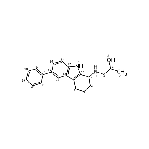 CC(O)CNC1CCCc2c1[nH]c1ccc(-c3ccccc3)cc21